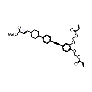 C=CC(=O)OCOc1ccc(C#Cc2ccc(C3CCC(/C=C/C(=O)OC)CC3)cc2)cc1OCOC(=O)C=C